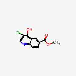 COC(=O)c1ccc2ncc(Cl)c(O)c2c1